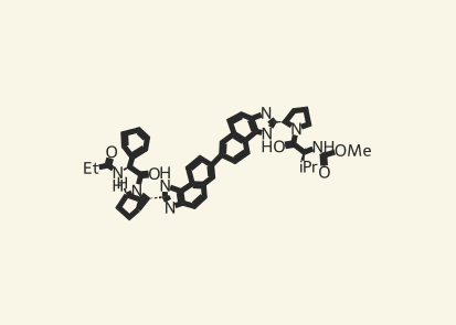 CCC(=O)N[C@@H](C(=O)N1[C@@H]2CCC(C2)[C@H]1c1nc2ccc3cc(-c4ccc5c(ccc6nc([C@@H]7CCCN7C(=O)[C@@H](NC(=O)OC)C(C)C)[nH]c65)c4)ccc3c2[nH]1)c1ccccc1